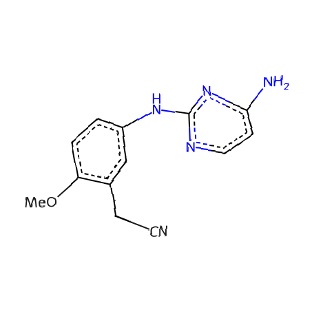 COc1ccc(Nc2nccc(N)n2)cc1CC#N